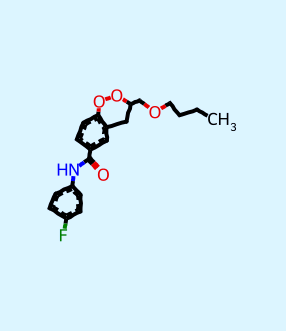 CCCCOCC1Cc2cc(C(=O)Nc3ccc(F)cc3)ccc2OO1